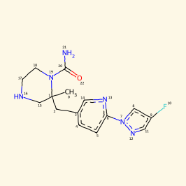 CC1(Cc2ccc(-n3cc(F)cn3)nc2)CNCCN1C(N)=O